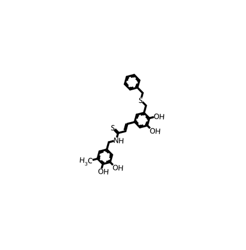 Cc1cc(CNC(=S)/C=C/c2cc(O)c(O)c(CSCc3ccccc3)c2)cc(O)c1O